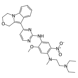 CCN(CC)CCN(C)c1cc(OC)c(Nc2nccc(-c3c4n(c5ccccc35)CCOC4)n2)cc1[N+](=O)[O-]